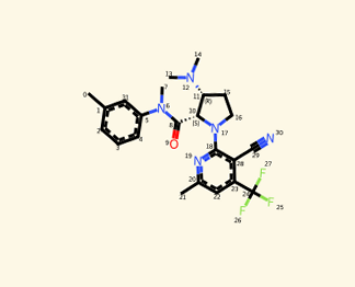 Cc1cccc(N(C)C(=O)[C@@H]2[C@H](N(C)C)CCN2c2nc(C)cc(C(F)(F)F)c2C#N)c1